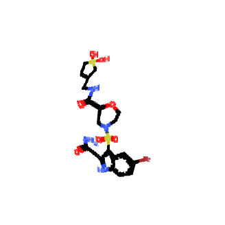 NC(=O)c1[nH]c2ccc(Br)cc2c1S(=O)(=O)N1CCOC(C(=O)NCC2CCS(O)(O)C2)C1